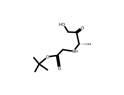 C[C@H](NCC(=O)OC(C)(C)C)C(=O)CO